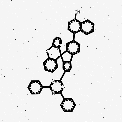 N#Cc1ccc(-c2ccc3c(c2)C2(c4ccccc4Sc4ccccc42)c2cc(-c4nc(-c5ccccc5)nc(-c5ccccc5)n4)ccc2-3)c2ccccc12